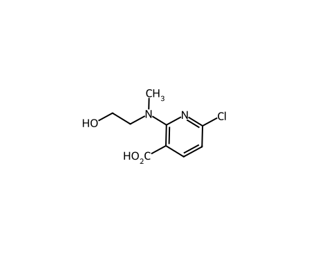 CN(CCO)c1nc(Cl)ccc1C(=O)O